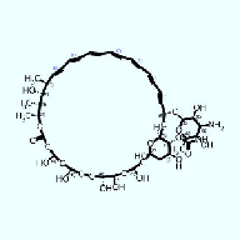 C[C@@H]1[C@H](O)[C@@H](C)/C=C/C=C/C=C/C=C/C=C/C=C/C=C/[C@H](O[C@@H]2O[C@H](C)[C@@H](O)[C@H](N)[C@@H]2O)C[C@@H]2O[C@](O)(C[C@@H](O)C[C@@H](O)[C@H](O)CC[C@@H](O)C[C@@H](O)CC(=O)O[C@H]1C)C[C@H](O)[C@H]2OC(=O)O